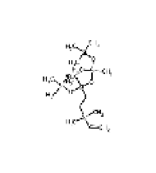 C=C[Si](C)(C)CC[Si](C)(O[Si](C)(C)C)O[Si](C)(C)O[Si](C)(C)C